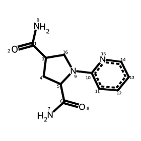 NC(=O)C1CC(C(N)=O)N(c2ccccn2)C1